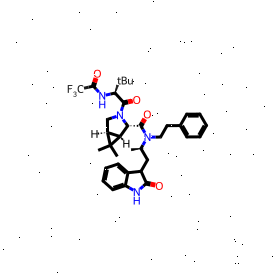 C[C@H](CC1C(=O)Nc2ccccc21)N(CCc1ccccc1)C(=O)[C@@H]1[C@@H]2[C@H](CN1C(=O)[C@@H](NC(=O)C(F)(F)F)C(C)(C)C)C2(C)C